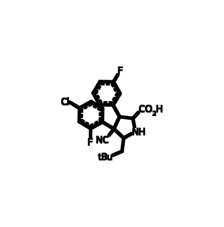 CC(C)(C)CC1NC(C(=O)O)C(c2cccc(F)c2)C1(C#N)c1ccc(Cl)cc1F